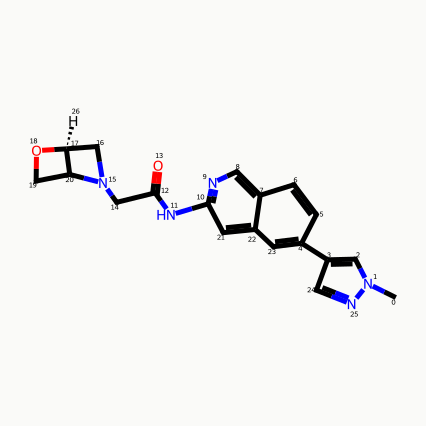 Cn1cc(-c2ccc3cnc(NC(=O)CN4C[C@@H]5OCC54)cc3c2)cn1